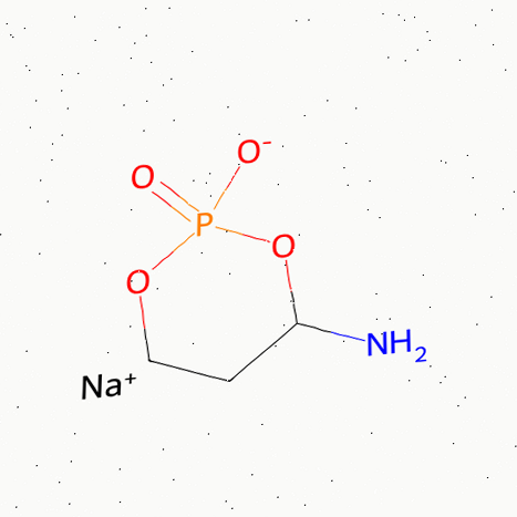 NC1CCOP(=O)([O-])O1.[Na+]